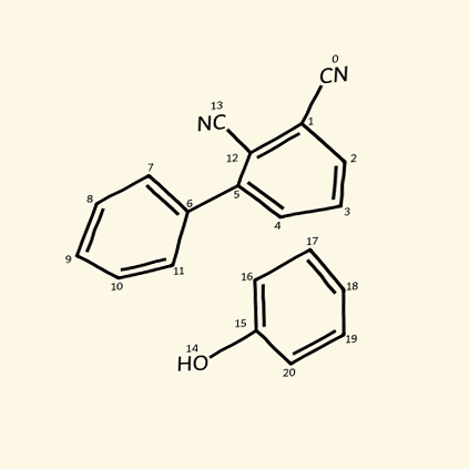 N#Cc1cccc(-c2ccccc2)c1C#N.Oc1ccccc1